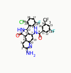 Nc1ccc2c3c(c(NC(=O)c4cc(F)cc(C(F)(F)F)c4)cc2n1)C(c1cc(F)ccc1Cl)NC3=O